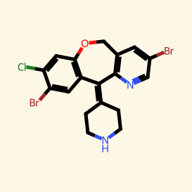 Clc1cc2c(cc1Br)C(=C1CCNCC1)c1ncc(Br)cc1CO2